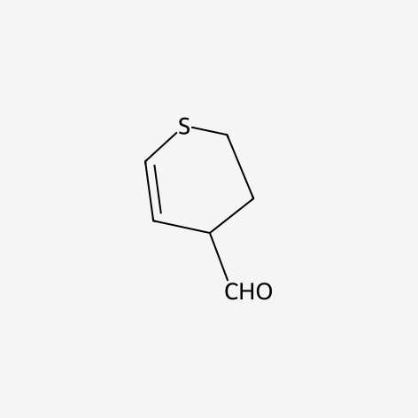 O=CC1C=CSCC1